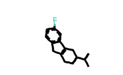 CC(C)C1CCC2=C(C1)c1cc(F)ccc1C2